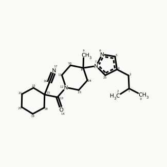 CC(C)Cc1cnn(C2(C)CCN(C(=O)C3(C#N)CCCCC3)CC2)c1